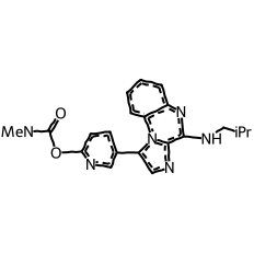 CNC(=O)Oc1ccc(-c2cnc3c(NCC(C)C)nc4ccccc4n23)cn1